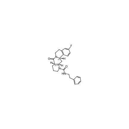 O=C1[C@H]2CCCN(C(=O)NCCc3ccccc3)[C@H]2C[C@H]2c3ccc(F)cc3CCN12